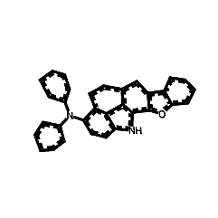 c1ccc(N(c2ccccc2)c2ccc3[nH]c4c5oc6ccccc6c5cc5ccc2c3c54)cc1